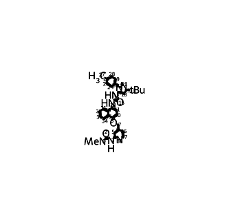 CNC(=O)Nc1cc(COc2ccc(NC(=O)Nc3cc(C(C)(C)C)nn3-c3ccc(C)cc3)c3ccccc23)ccn1